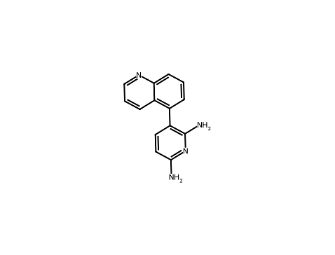 Nc1ccc(-c2cccc3ncccc23)c(N)n1